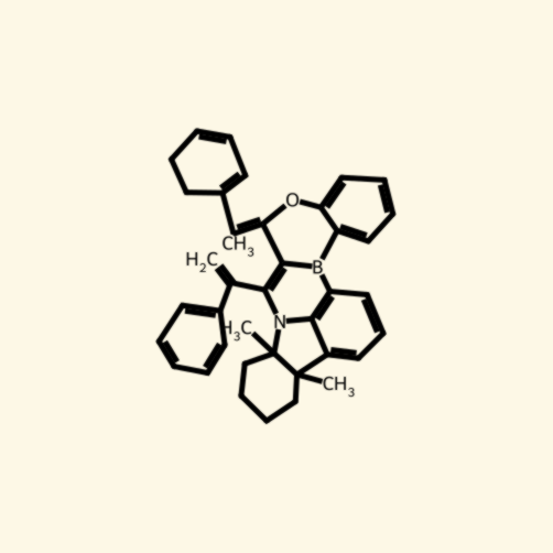 C=C(C1=C2B(c3ccccc3O/C2=C(/C)C2=CC=CCC2)c2cccc3c2N1C1(C)CCCCC31C)c1ccccc1